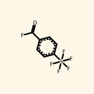 O=C(F)c1ccc(S(F)(F)(F)(F)F)cc1